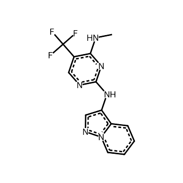 CNc1nc(Nc2cnn3ccccc23)ncc1C(F)(F)F